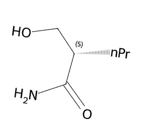 CCC[C@@H](CO)C(N)=O